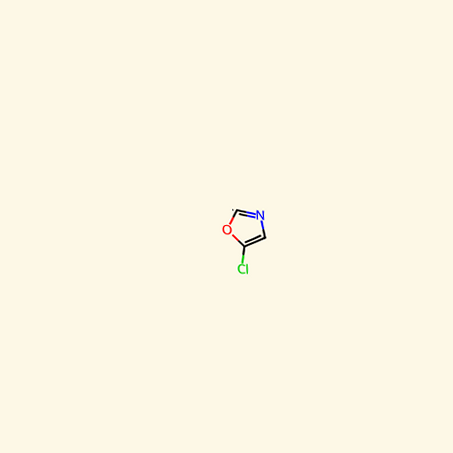 Clc1cn[c]o1